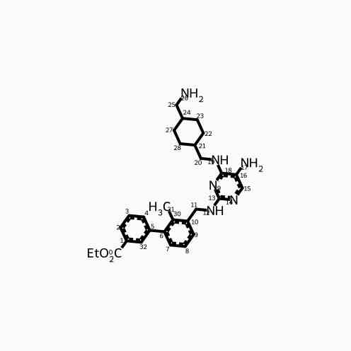 CCOC(=O)c1cccc(-c2cccc(CNc3ncc(N)c(NCC4CCC(CN)CC4)n3)c2C)c1